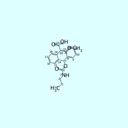 CCCNC(=O)OC(c1ccccc1)c1ccccc1C(=COC)C(=O)O